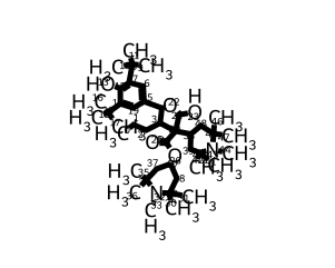 CCCC(Cc1cc(C(C)(C)C)c(O)c(C(C)(C)C)c1)C(C(=O)O)(C(=O)OC1CC(C)(C)N(C)C(C)(C)C1)C1CC(C)(C)N(C)C(C)(C)C1